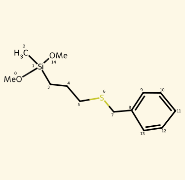 CO[Si](C)(CCCSCc1ccccc1)OC